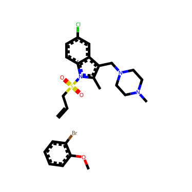 C=CCS(=O)(=O)n1c(C)c(CN2CCN(C)CC2)c2cc(Cl)ccc21.COc1ccccc1Br